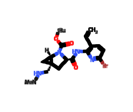 C=Cc1ccc(Br)nc1NC(=O)[C@@H]1C[C@@]2(CNNC)C[C@H]2N1C(=O)OC(C)(C)C